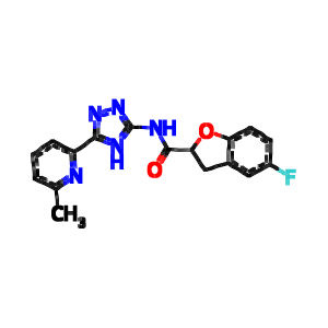 Cc1cccc(-c2nnc(NC(=O)C3Cc4cc(F)ccc4O3)[nH]2)n1